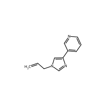 C=CCn1cnc(-c2cccnc2)c1